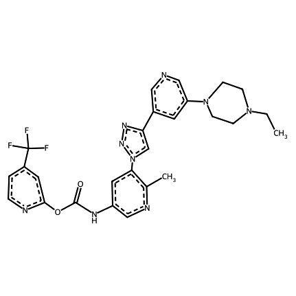 CCN1CCN(c2cncc(-c3cn(-c4cc(NC(=O)Oc5cc(C(F)(F)F)ccn5)cnc4C)nn3)c2)CC1